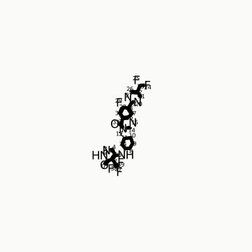 O=c1[nH]ncc(N[C@H]2CCC[C@@H](Cn3cnc4cc(-c5ncc(C(F)F)cn5)c(F)cc4c3=O)C2)c1C(F)(F)F